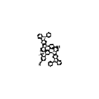 N#Cc1ccc(-n2c3ccccc3c3cc4c5ccccc5n(-c5ccccc5)c4cc32)c(-c2ccc(-c3ccc(C#N)cc3C(F)(F)F)cc2-n2c3ccccc3c3cc4c5ccccc5n(-c5ccccc5)c4cc32)c1